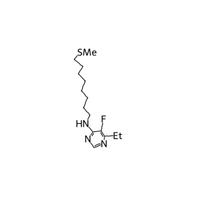 CCc1ncnc(NCCCCCCCCSC)c1F